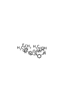 CC(C)(CO)CNC(=O)N(CC12CCC(c3noc(C(C)(C)F)n3)(CC1)CC2)c1cccc(C#N)c1